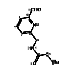 CC(C)(C)OC(=O)NCc1cccc(C=O)n1